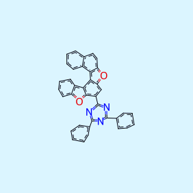 c1ccc(-c2nc(-c3ccccc3)nc(-c3cc4oc5ccc6ccccc6c5c4c4c3oc3ccccc34)n2)cc1